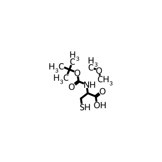 CC(C)(C)OC(=O)NC(CS)C(=O)O.COC